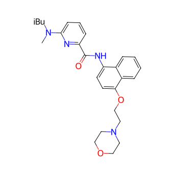 CCC(C)N(C)c1cccc(C(=O)Nc2ccc(OCCN3CCOCC3)c3ccccc23)n1